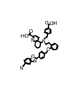 N#Cc1ccc2oc(-c3ccc(COc4ccccc4CCN(CCc4ccc(C(=O)O)cc4)C4CCCc5nc(C(=O)O)ccc54)cc3)nc2c1